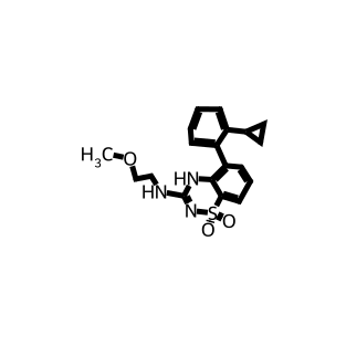 COCCNC1=NS(=O)(=O)c2cccc(-c3ccccc3C3CC3)c2N1